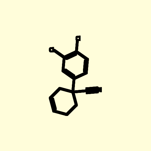 N#CC1(c2ccc(Cl)c(Cl)c2)CC=CCC1